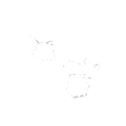 CC(Cn1cnnc1)(c1ccccc1)c1ccc(C#N)cc1